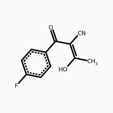 CC(O)=C(C#N)C(=O)c1ccc(F)cc1